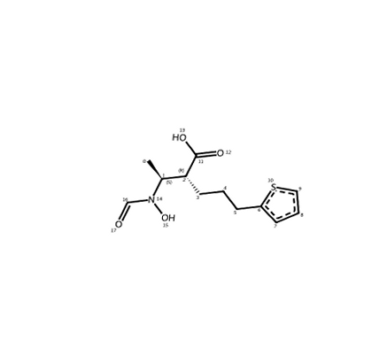 C[C@@H]([C@@H](CCCc1cccs1)C(=O)O)N(O)C=O